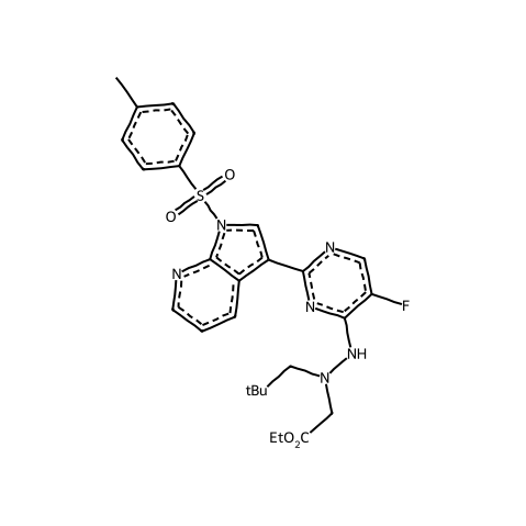 CCOC(=O)CN(CC(C)(C)C)Nc1nc(-c2cn(S(=O)(=O)c3ccc(C)cc3)c3ncccc23)ncc1F